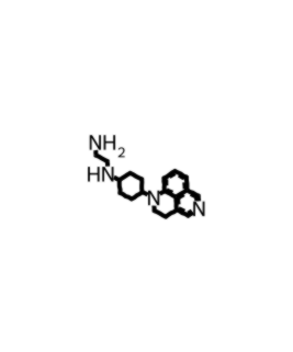 NCCNC1CCC(N2CCc3cncc4cccc2c34)CC1